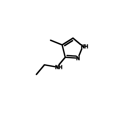 CCNc1n[nH]cc1C